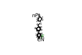 CCC[C@H]1CC[C@H](CCc2ccc(-c3ccc(C#N)c(F)c3)cc2)CC1